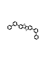 c1ccc(-c2cccc(-c3ccc4c(c3)sc3c5ccc(-c6cccc(-c7ccccc7)c6)cc5sc43)c2)cc1